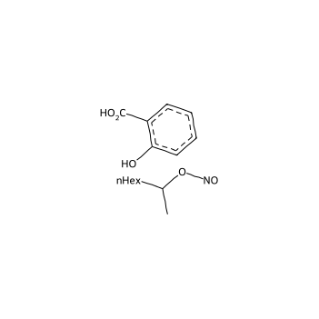 CCCCCCC(C)ON=O.O=C(O)c1ccccc1O